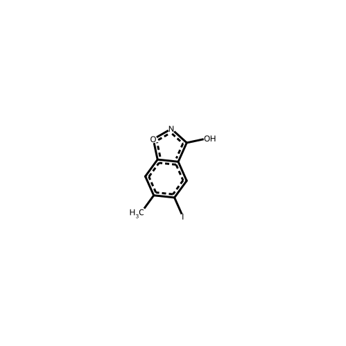 Cc1cc2onc(O)c2cc1I